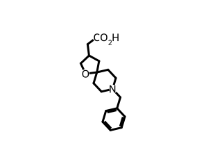 O=C(O)CC1COC2(CCN(Cc3ccccc3)CC2)C1